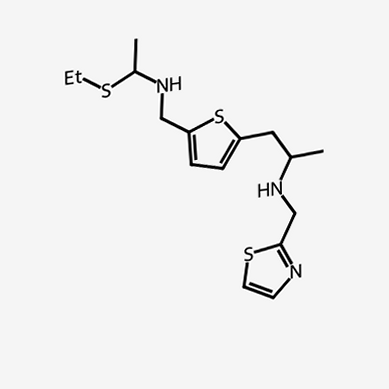 CCSC(C)NCc1ccc(CC(C)NCc2nccs2)s1